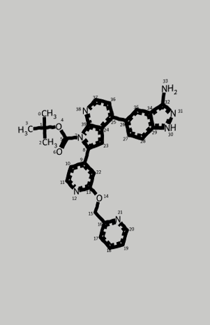 CC(C)(C)OC(=O)n1c(-c2ccnc(OCc3ccccn3)c2)cc2c(-c3ccc4[nH]nc(N)c4c3)ccnc21